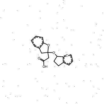 O=C(O)CC1(OC2CCc3ccccc32)Cc2ccccc2O1